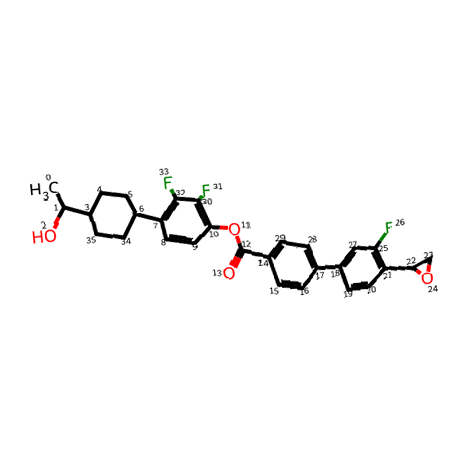 CC(O)C1CCC(c2ccc(OC(=O)c3ccc(-c4ccc(C5CO5)c(F)c4)cc3)c(F)c2F)CC1